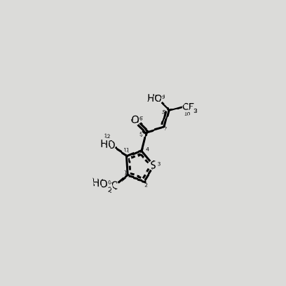 O=C(O)c1csc(C(=O)C=C(O)C(F)(F)F)c1O